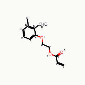 C=CC(=O)OCCOc1cccc(C)c1C=O